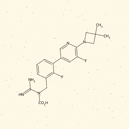 CC1(C)CN(c2ncc(-c3cccc(CN(C(=N)N)C(=O)O)c3F)cc2F)C1